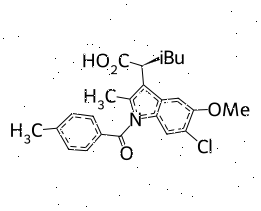 CCC(C)[C@H](C(=O)O)c1c(C)n(C(=O)c2ccc(C)cc2)c2cc(Cl)c(OC)cc12